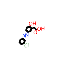 O=C(O)Cc1cc(/N=N/c2cccc(Cl)c2)ccc1O